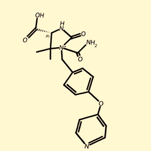 CC1(C)[C@H](C(=O)O)NC(=O)[N+]1(Cc1ccc(Oc2ccncc2)cc1)C(N)=O